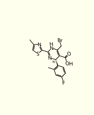 Cc1csc(C2=N[C@H](c3ccc(F)cc3C)C(C(=O)O)=C(CBr)N2)n1